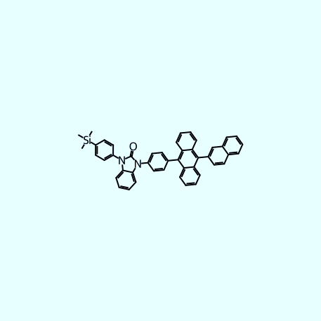 C[Si](C)(C)c1ccc(-n2c(=O)n(-c3ccc(-c4c5ccccc5c(-c5ccc6ccccc6c5)c5ccccc45)cc3)c3ccccc32)cc1